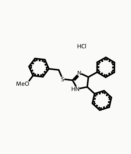 COc1cccc(CSC2=NC(c3ccccc3)C(c3ccccc3)N2)c1.Cl